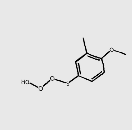 COc1ccc(SOOO)cc1C